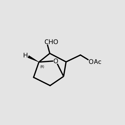 CC(=O)OCC1C2CC[C@@H](O2)C1C=O